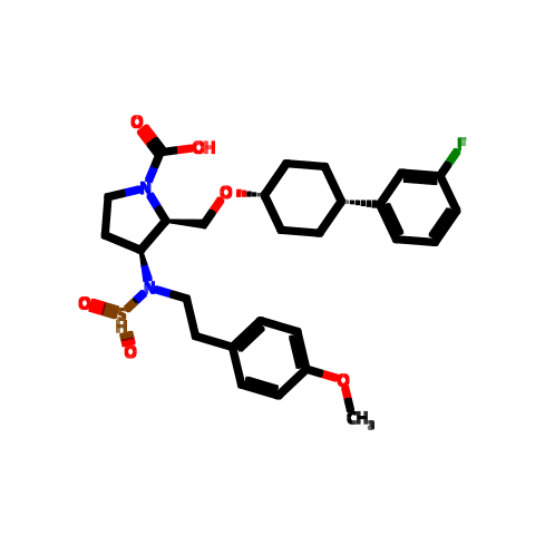 COc1ccc(CCN([C@H]2CCN(C(=O)O)[C@H]2CO[C@H]2CC[C@@H](c3cccc(F)c3)CC2)[SH](=O)=O)cc1